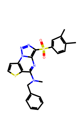 Cc1ccc(S(=O)(=O)c2nnn3c2nc(N(C)Cc2ccccc2)c2sccc23)cc1C